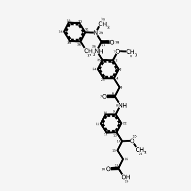 COc1cc(CC(=O)Nc2cccc(C(CCC(=O)O)OC)c2)ccc1NC(=O)N(C)c1ccccc1C